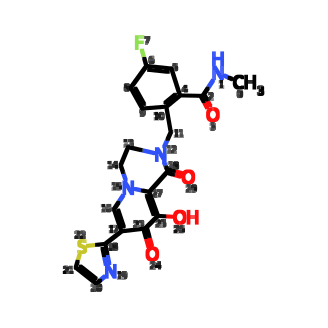 CNC(=O)c1cc(F)ccc1CN1CCn2cc(-c3nccs3)c(=O)c(O)c2C1=O